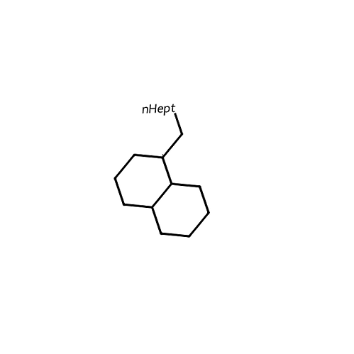 CCCCCCCC[C]1CCCC2CCCCC12